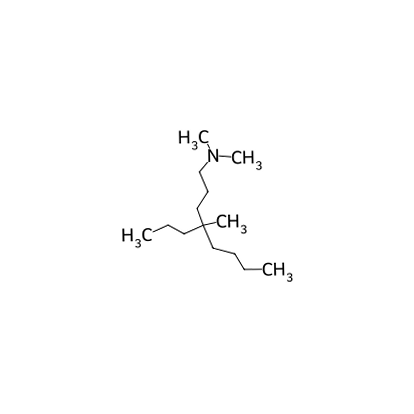 CCCCC(C)(CCC)CCCN(C)C